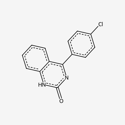 O=c1nc(-c2ccc(Cl)cc2)c2ccccc2[nH]1